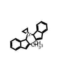 CC1=Cc2ccccc2[CH]1[Zr]1([CH]2C(C)=Cc3ccccc32)[CH2][CH2]1